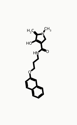 C=C1C(O)=C(C(=O)NCCCOc2ccc3ccccc3c2)CN1C